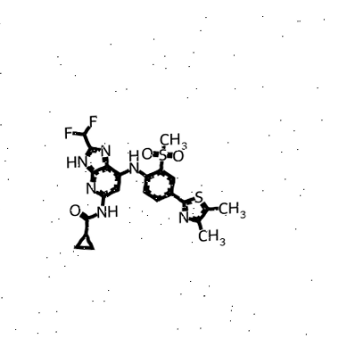 Cc1nc(-c2ccc(Nc3cc(NC(=O)C4CC4)nc4[nH]c(C(F)F)nc34)c(S(C)(=O)=O)c2)sc1C